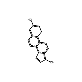 OC1=CCc2c(ccc3c4c(ccc23)=C(O)C=C4)=C1